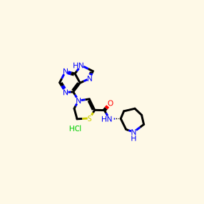 Cl.O=C(N[C@@H]1CCCCNC1)C1=CN(c2ncnc3[nH]cnc23)CCS1